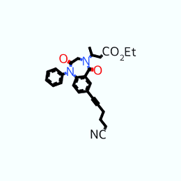 CCOC(=O)CC(C)N1CC(=O)N(c2ccccc2)c2ccc(C#CCCCC#N)cc2C1=O